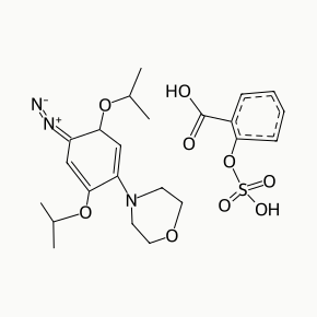 CC(C)OC1=CC(=[N+]=[N-])C(OC(C)C)C=C1N1CCOCC1.O=C(O)c1ccccc1OS(=O)(=O)O